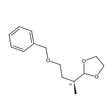 C[C@@H](CCOCc1ccccc1)C1OCCO1